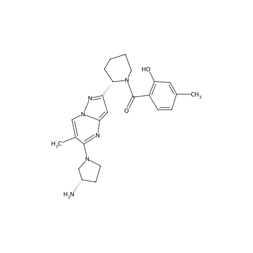 Cc1ccc(C(=O)N2CCCC[C@H]2c2cc3nc(N4CC[C@H](N)C4)c(C)cn3n2)c(O)c1